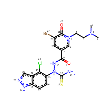 CN(C)CCn1cc(C(=O)NN(C(N)=S)c2ccc3[nH]ncc3c2Cl)cc(Br)c1=O